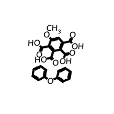 COc1cc(C(=O)O)c(C(=O)O)c(C(=O)O)c1C(=O)O.c1ccc(Oc2ccccc2)cc1